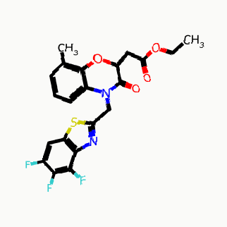 CCOC(=O)CC1Oc2c(C)cccc2N(Cc2nc3c(F)c(F)c(F)cc3s2)C1=O